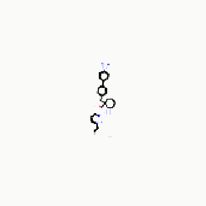 CN(C)c1ccc(-c2ccc(CC3(C(=O)Nc4cccc(/C=C/C(=O)O)n4)CCCCC3)cc2)cc1